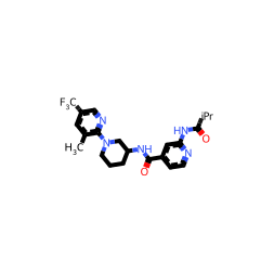 Cc1cc(C(F)(F)F)cnc1N1CCCC(NC(=O)c2ccnc(NC(=O)C(C)C)c2)C1